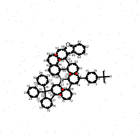 CC(C)(C)c1ccc(-c2ccc(N(c3ccc4c(c3)C(c3ccccc3)(c3ccccc3)c3ccccc3-4)c3ccc4ccccc4c3-c3ccccc3-c3cccc4oc5ccccc5c34)c(-c3ccccc3)c2)cc1